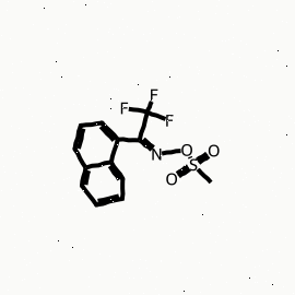 CS(=O)(=O)ON=C(c1cccc2ccccc12)C(F)(F)F